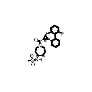 C[C@H]1CCN(C(=O)[C@@H]2C[C@H]2c2ccccc2-c2c(F)cccc2F)CC[C@@H]1NS(C)(=O)=O